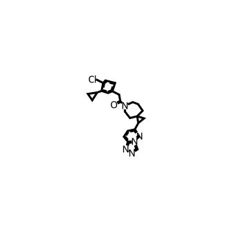 O=C(Cc1ccc(Cl)c(C2CC2)c1)N1CCCC2(CC1)CC2c1ccc2nncn2n1